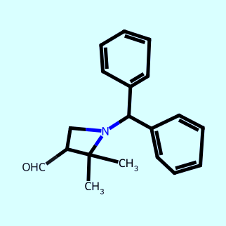 CC1(C)C(C=O)CN1C(c1ccccc1)c1ccccc1